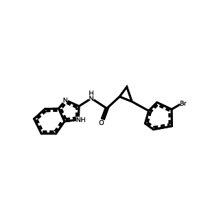 O=C(Nc1nc2ccccc2[nH]1)C1CC1c1cccc(Br)c1